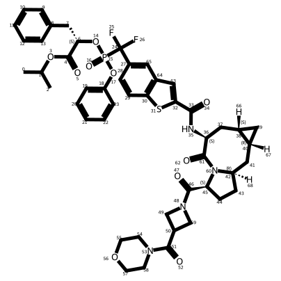 CC(C)OC(=O)[C@H](Cc1ccccc1)OP(=O)(Oc1ccccc1)C(F)(F)c1ccc2sc(C(=O)N[C@H]3C[C@@H]4C[C@@H]4C[C@H]4CC[C@@H](C(=O)N5CC(C(=O)N6CCOCC6)C5)N4C3=O)cc2c1